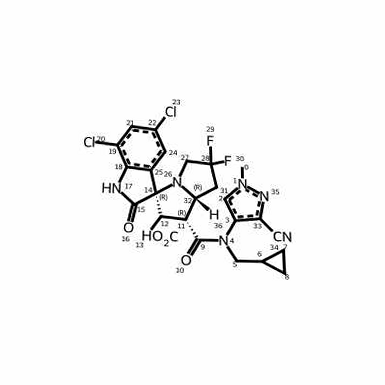 Cn1cc(N(CC2CC2)C(=O)[C@@H]2C(C(=O)O)[C@@]3(C(=O)Nc4c(Cl)cc(Cl)cc43)N3CC(F)(F)C[C@H]23)c(C#N)n1